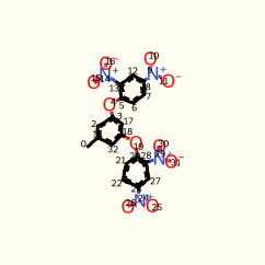 Cc1cc(Oc2ccc([N+](=O)[O-])cc2[N+](=O)[O-])cc(Oc2ccc([N+](=O)[O-])cc2[N+](=O)[O-])c1